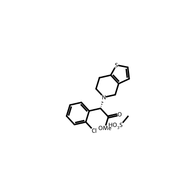 COC(=O)[C@H](c1ccccc1Cl)N1CCc2sccc2C1.CS(=O)(=O)O